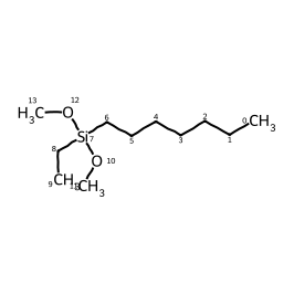 CCCCCCC[Si](CC)(OC)OC